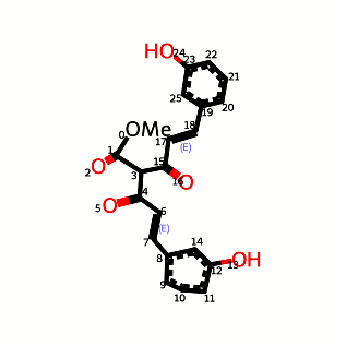 COC(=O)C(C(=O)/C=C/c1cccc(O)c1)C(=O)/C=C/c1cccc(O)c1